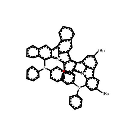 CC(C)(C)c1cc(N(c2ccccc2)c2ccccc2)c2c(c1)c1cc(C(C)(C)C)cc3c4c5c6cc7ccccc7c7c8cc9ccccc9c(N(c9ccccc9)c9ccccc9)c8n(c5ccc4n2c13)c67